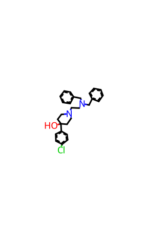 OC1(c2ccc(Cl)cc2)CCN(CCN(Cc2ccccc2)Cc2ccccc2)CC1